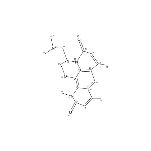 Cc1cc(=O)n(C)c2c3c4c(cc12)c(C)cc(=O)n4C(CN(C)C)CO3